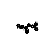 c1ccc(-n2c3ccncc3c3cc(-c4cccc(-c5cc(-c6ccc(-c7ccccn7)nc6)nc(-c6ccccn6)c5)c4)ccc32)cc1